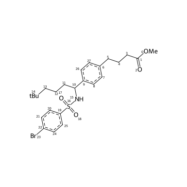 COC(=O)CCCc1ccc(C(CCCC(C)(C)C)NS(=O)(=O)c2ccc(Br)cc2)cc1